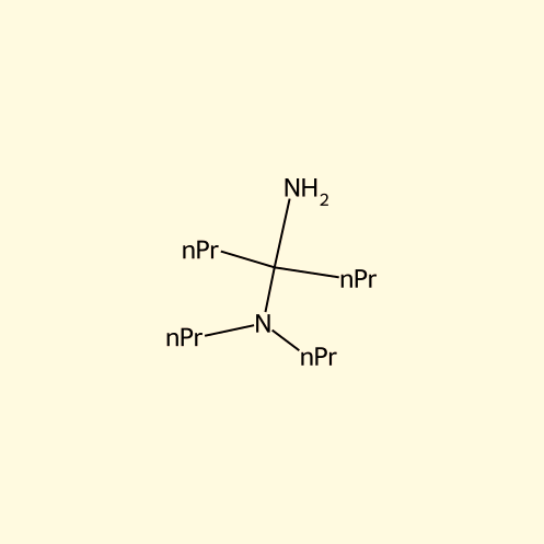 CCCN(CCC)C(N)(CCC)CCC